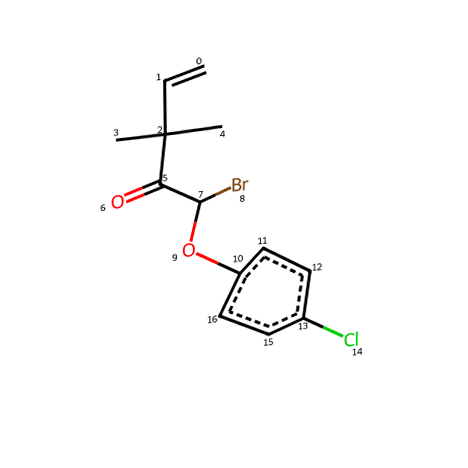 C=CC(C)(C)C(=O)C(Br)Oc1ccc(Cl)cc1